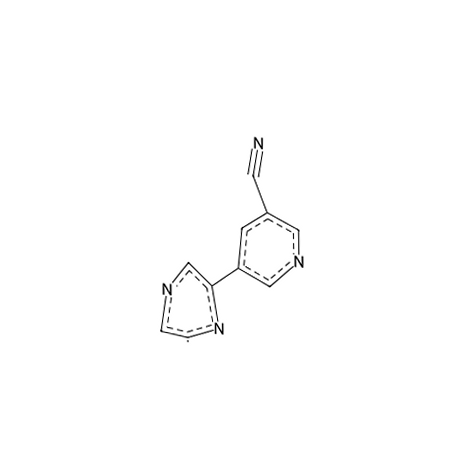 N#Cc1cncc(-c2cnc[c]n2)c1